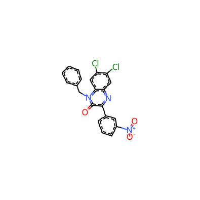 O=c1c(-c2cccc([N+](=O)[O-])c2)nc2cc(Cl)c(Cl)cc2n1Cc1ccccc1